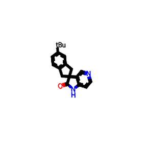 CC(C)(C)c1ccc2c(c1)CC1(C2)C(=O)Nc2ccncc21